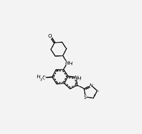 Cc1cc(NC2CCC(=O)CC2)c2[nH]c(C3=N[C]CS3)cc2c1